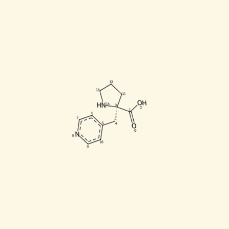 O=C(O)[C@]1(Cc2ccncc2)CCCN1